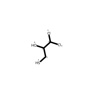 OC(CS)C(Cl)Cl